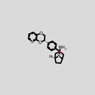 NC1CC2CC[C@@H](C1)N2Cc1ccc([C@H]2COc3cccnc3O2)cc1